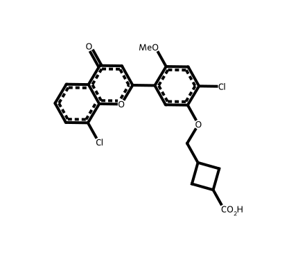 COc1cc(Cl)c(OCC2CC(C(=O)O)C2)cc1-c1cc(=O)c2cccc(Cl)c2o1